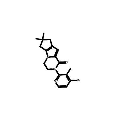 Cc1c(Br)ccnc1N1CCn2c(cc3c2CC(C)(C)C3)C1=O